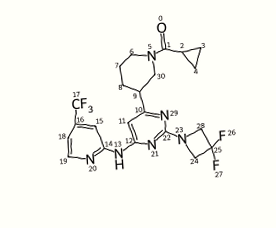 O=C(C1CC1)N1CCCC(c2cc(Nc3cc(C(F)(F)F)ccn3)nc(N3CC(F)(F)C3)n2)C1